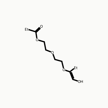 CCC(=O)OCCOCCO/C(=C/O)CC